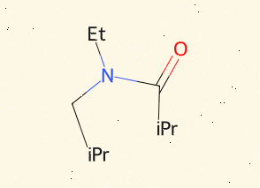 [CH2]CN(CC(C)C)C(=O)C(C)C